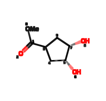 COC(=O)C1C[C@@H](O)[C@@H](O)C1